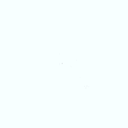 CSCCC(=O)NCc1ccccc1